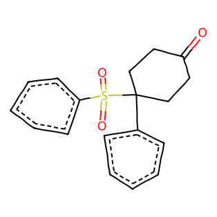 O=C1CCC(c2ccccc2)(S(=O)(=O)c2ccccc2)CC1